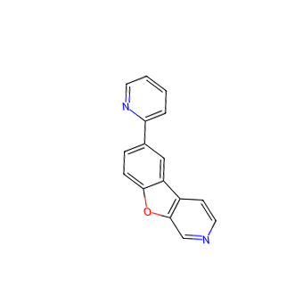 c1ccc(-c2ccc3oc4cnccc4c3c2)nc1